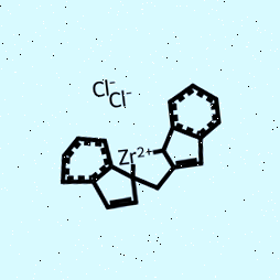 C1=C[C]2(CC3=Cc4ccccc4[CH]3[Zr+2]2)c2ccccc21.[Cl-].[Cl-]